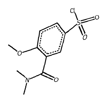 COc1ccc(S(=O)(=O)Cl)cc1C(=O)N(C)C